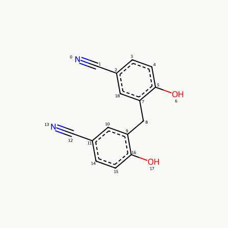 N#Cc1ccc(O)c(Cc2cc(C#N)ccc2O)c1